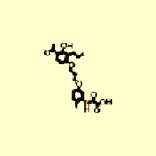 CCCc1c(OCCCOc2ccc(C)c(NC(=O)C(=O)O)c2)ccc(C(C)=O)c1O